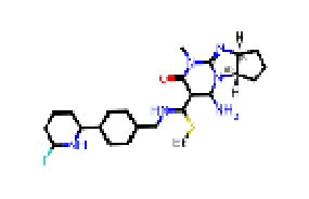 CCSC(NCC1CCC(C2CCCC(F)N2)CC1)C1C(=O)N(C)C2=N[C@@H]3CCC[C@@H]3N2C1N